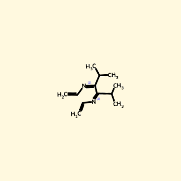 C=C/N=C(\C(=N/C=C)C(C)C)C(C)C